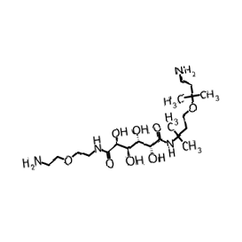 CC(C)(CCOC(C)(C)CCN)NC(=O)[C@H](O)[C@@H](O)[C@@H](O)[C@H](O)C(=O)NCCOCCN